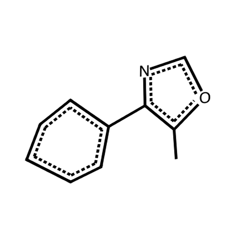 Cc1ocnc1-c1ccccc1